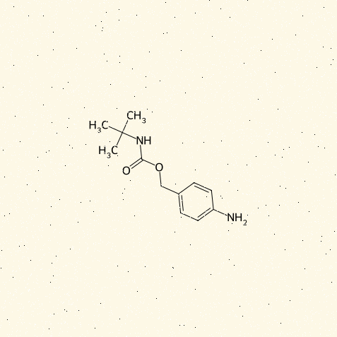 CC(C)(C)NC(=O)OCc1ccc(N)cc1